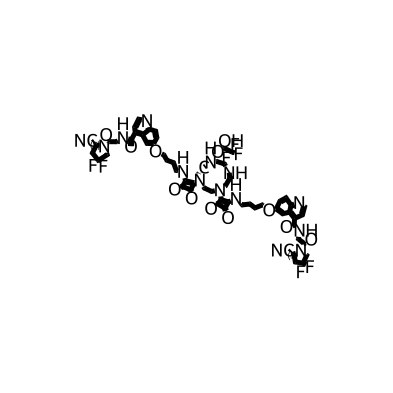 N#C[C@@H]1CC(F)(F)CN1C(=O)CNC(=O)c1ccnc2ccc(OCCCCNc3c(N4CCNCCNCCN(c5c(NCCCCOc6ccc7nccc(C(=O)NCC(=O)N8CC(F)(F)C[C@H]8C#N)c7c6)c(=O)c5=O)CC4)c(=O)c3=O)cc12.O=C(O)C(F)(F)F